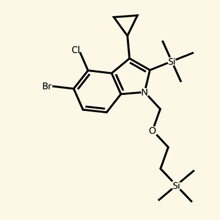 C[Si](C)(C)CCOCn1c([Si](C)(C)C)c(C2CC2)c2c(Cl)c(Br)ccc21